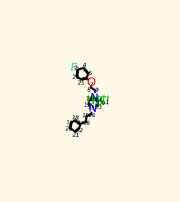 Cl.Cl.Fc1ccc(OCCN2CCN(CCCc3ccccc3)CC2)cc1